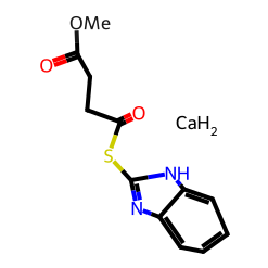 COC(=O)CCC(=O)Sc1nc2ccccc2[nH]1.[CaH2]